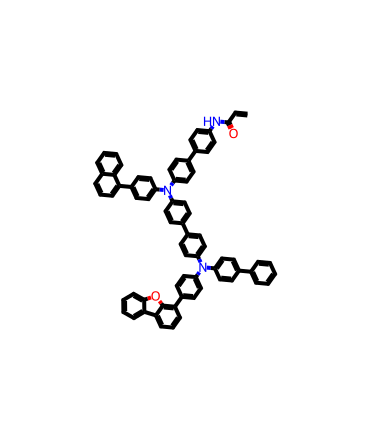 C=CC(=O)Nc1ccc(-c2ccc(N(c3ccc(-c4ccc(N(c5ccc(-c6ccccc6)cc5)c5ccc(-c6cccc7c6oc6ccccc67)cc5)cc4)cc3)c3ccc(-c4cccc5ccccc45)cc3)cc2)cc1